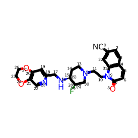 N#Cc1ccc2ccc(=O)n(CCN3CC[C@H](NCc4cc5c(cn4)OCCO5)[C@H](F)C3)c2c1